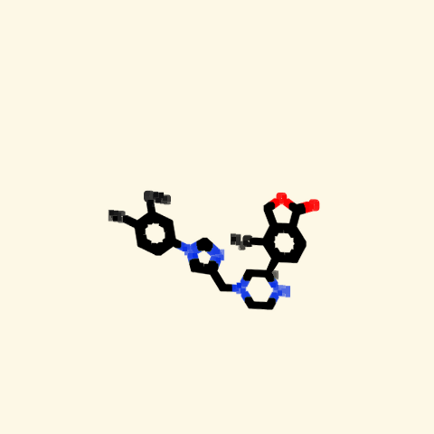 COc1cc(-n2cnc(CN3CCN[C@H](c4ccc5c(c4C)COC5=O)C3)c2)ccc1C#N